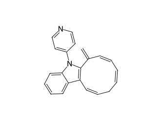 C=C1/C=C\C=C/C/C=C\c2c1n(-c1ccncc1)c1ccccc21